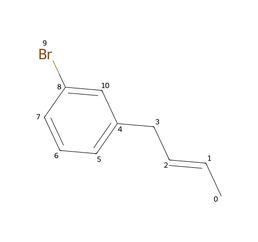 CC=CCc1cccc(Br)c1